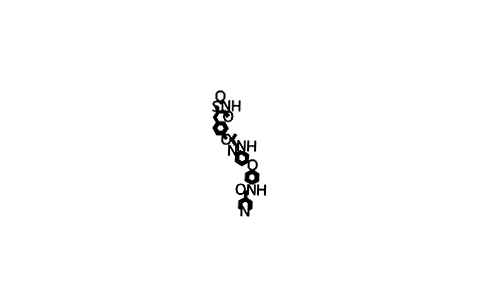 CC(Oc1ccc(CC2SC(=O)NC2=O)cc1)c1nc2ccc(Oc3ccc(NC(=O)c4ccncc4)cc3)cc2[nH]1